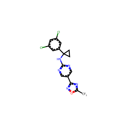 FC(F)(F)c1nc(-c2cnc(NC3(c4cc(Cl)cc(Cl)c4)CC3)nc2)no1